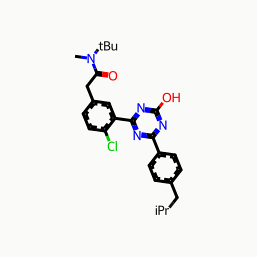 CC(C)Cc1ccc(-c2nc(O)nc(-c3cc(CC(=O)N(C)C(C)(C)C)ccc3Cl)n2)cc1